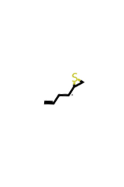 C=CC[CH]C1CS1